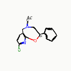 CC(=O)N1Cc2ccc(Cl)nc2O[C@H](c2ccccc2)C1